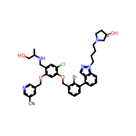 CC(CO)NCc1cc(Cl)c(OCc2cccc(-c3cccc4c3cnn4CCCCN3CC[C@@H](O)C3)c2Br)cc1OCc1cncc(C#N)c1